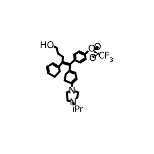 CC(C)N1CCN(C2=CC=C(/C(=C(/CCCO)C3=CC=CCC3)c3ccc(OS(=O)(=O)C(F)(F)F)cc3)CC2)CC1